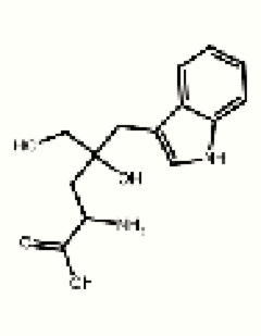 NC(CC(O)(CO)Cc1c[nH]c2ccccc12)C(=O)O